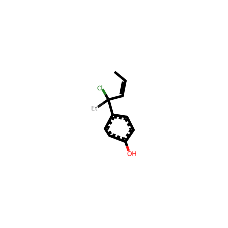 C/C=C\C(Cl)(CC)c1ccc(O)cc1